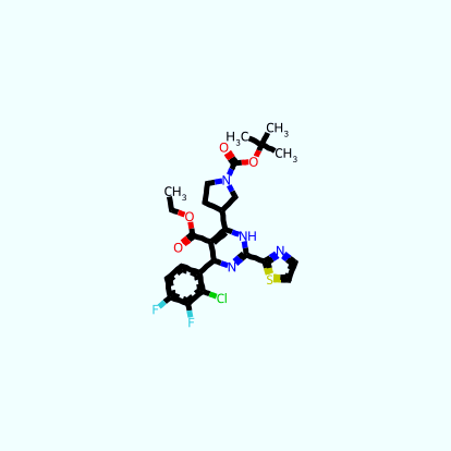 CCOC(=O)C1=C(C2CCN(C(=O)OC(C)(C)C)C2)NC(c2nccs2)=NC1c1ccc(F)c(F)c1Cl